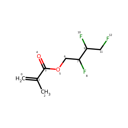 C=C(C)C(=O)OCC(F)C(F)CF